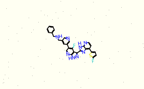 Fc1ccc(-c2ccnc3[nH]c(-c4n[nH]c5ncc(-c6cncc(CNCc7ccccc7)c6)c(F)c45)nc23)s1